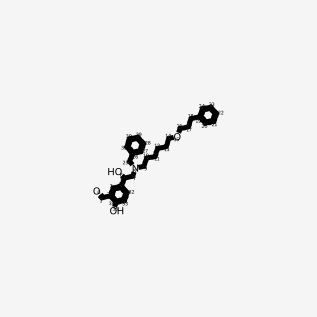 O=Cc1cc(C(O)CN(CCCCCCOCCCc2ccccc2)Cc2ccccc2)ccc1O